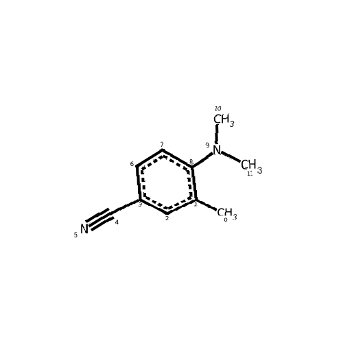 Cc1cc(C#N)ccc1N(C)C